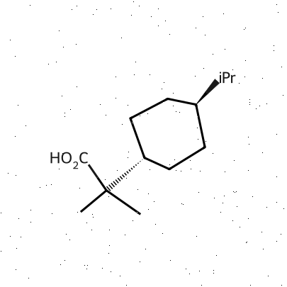 CC(C)[C@H]1CC[C@H](C(C)(C)C(=O)O)CC1